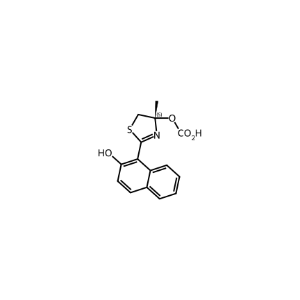 C[C@]1(OC(=O)O)CSC(c2c(O)ccc3ccccc23)=N1